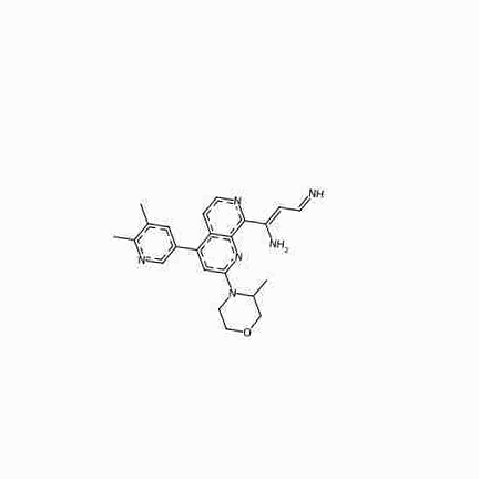 Cc1cc(-c2cc(N3CCOCC3C)nc3c(/C(N)=C/C=N)nccc23)cnc1C